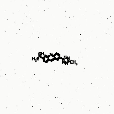 Cc1nnc(-c2ccc3nc4cc(N(C)C)ccc4cc3c2)nn1